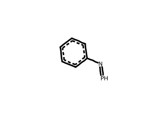 P=Nc1ccccc1